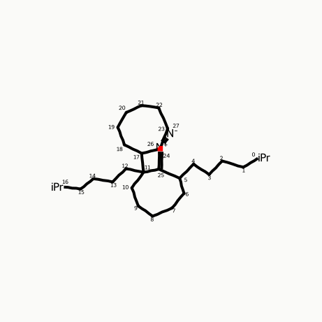 CC(C)CCCCC1CCCCCC(CCCCC(C)C)(C2CCCCCCC2)C1=[N+]=[N-]